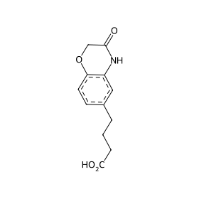 O=C(O)CCCc1ccc2c(c1)NC(=O)CO2